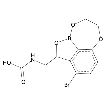 O=C(O)NCC1OB2OCCOc3ccc(Br)c1c32